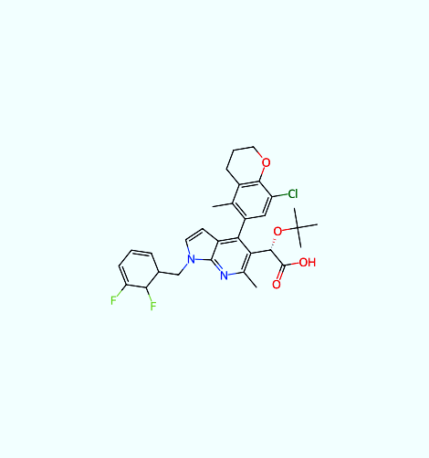 Cc1nc2c(ccn2CC2C=CC=C(F)C2F)c(-c2cc(Cl)c3c(c2C)CCCO3)c1[C@H](OC(C)(C)C)C(=O)O